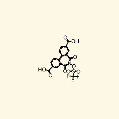 O=C(O)c1ccc2c(c1)c(=O)n(OS(=O)(=O)C(F)(F)F)c(=O)c1cc(C(=O)O)ccc12